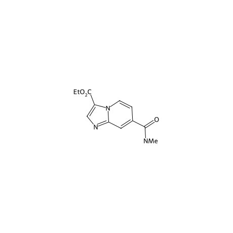 CCOC(=O)c1cnc2cc(C(=O)NC)ccn12